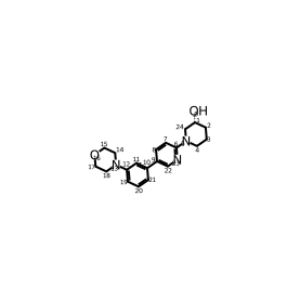 O[C@@H]1CCCN(c2ccc(-c3[c]c(N4CCOCC4)ccc3)cn2)C1